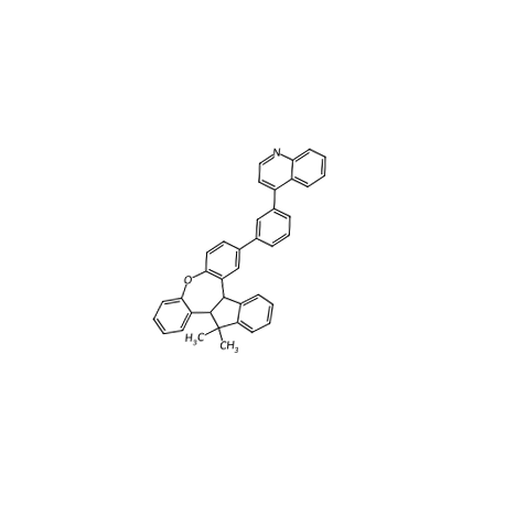 CC1(C)c2ccccc2C2c3cc(-c4cccc(-c5ccnc6ccccc56)c4)ccc3Oc3ccccc3C21